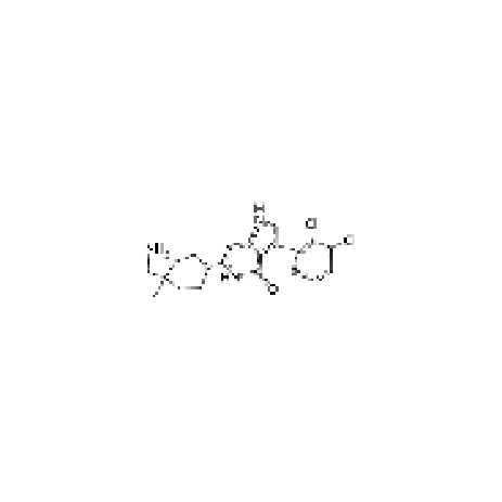 CC1(CN)CCN(c2cc3[nH]cc(-c4cccc(Cl)c4Cl)c3c(=O)[nH]2)CC1